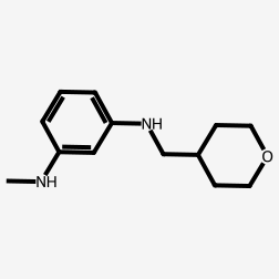 CNc1cccc(NCC2CCOCC2)c1